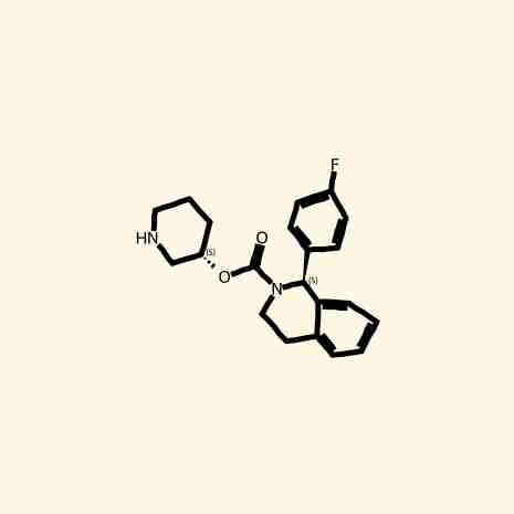 O=C(O[C@H]1CCCNC1)N1CCc2ccccc2[C@@H]1c1ccc(F)cc1